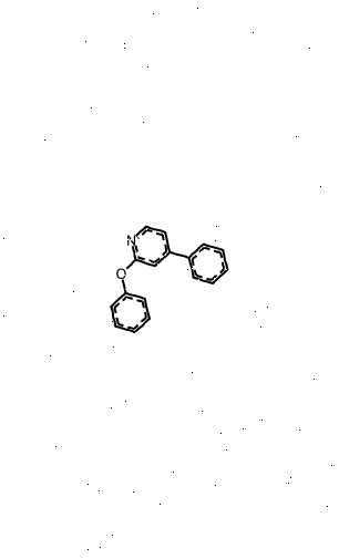 c1ccc(Oc2cc(-c3ccccc3)ccn2)cc1